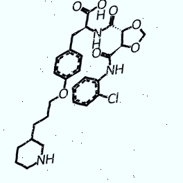 O=C(O)[C@H](Cc1ccc(OCCCC2CCCNC2)cc1)NC(=O)[C@@H]1OCO[C@H]1C(=O)Nc1ccccc1Cl